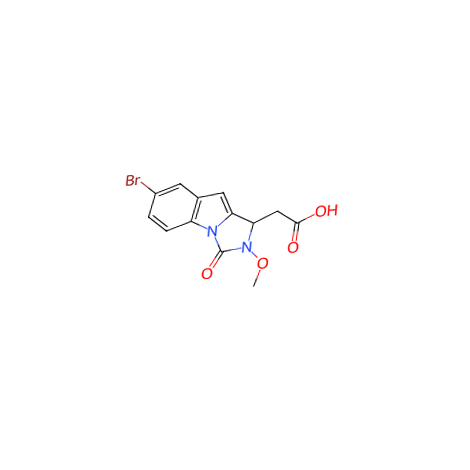 CON1C(=O)n2c(cc3cc(Br)ccc32)C1CC(=O)O